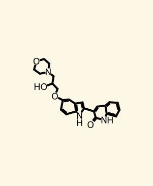 O=c1[nH]c2ccccc2cc1-c1cc2cc(OCC(O)CN3CCOCC3)ccc2[nH]1